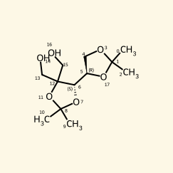 CC1(C)OC[C@H]([C@@H]2OC(C)(C)OC2(CO)CO)O1